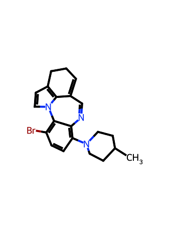 CC1CCN(c2ccc(Br)c3c2N=CC2=CCCc4ccn-3c42)CC1